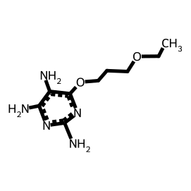 CCOCCCOc1nc(N)nc(N)c1N